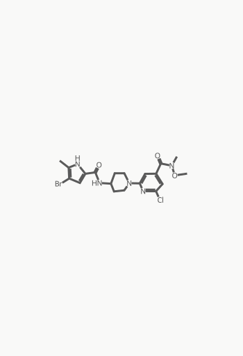 CON(C)C(=O)c1cc(Cl)nc(N2CCC(NC(=O)c3cc(Br)c(C)[nH]3)CC2)c1